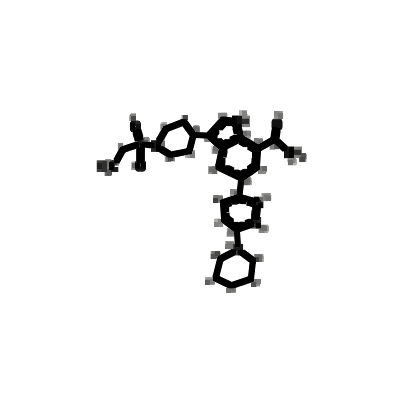 CCS(=O)(=O)N1CCC(c2c[nH]c3c(C(N)=O)cc(-c4ccc(N5CCCCC5)nn4)cc23)CC1